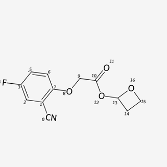 N#Cc1cc(F)[c]cc1OCC(=O)OC1CCO1